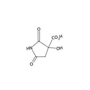 O=C1CC(O)(C(=O)O)C(=O)N1